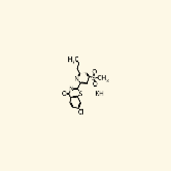 CCCc1cc(S(C)(=O)=O)cc(-c2nc(=O)c3ccc(Cl)cc3s2)n1.[KH]